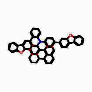 c1ccc(N(c2ccc(-c3ccc4c(c3)oc3ccccc34)cc2)c2ccccc2-c2cccc3cccc(C4CCCCC4)c23)c(-c2ccc3oc4ccccc4c3c2)c1